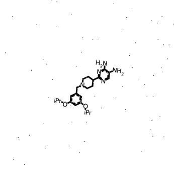 CC(C)Oc1cc(CN2CCC(c3ncc(N)c(N)n3)CC2)cc(OC(C)C)c1